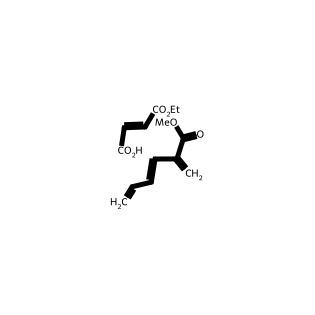 C=CC=CC(=C)C(=O)OC.CCOC(=O)C=CC(=O)O